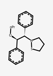 CCCO[C@H](c1ccccc1)[C@H](c1ccccc1)N1CCCS1